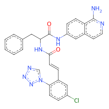 Nc1nccc2cc(NC(=O)C(Cc3ccccc3)NC(=O)C=Cc3cc(Cl)ccc3-n3cnnn3)ccc12